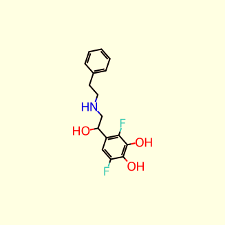 Oc1c(F)cc(C(O)CNCCc2ccccc2)c(F)c1O